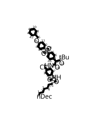 CCCCCCCCCCCCCCCCS(=O)(=O)Nc1ccc(Cl)c(NC(=O)C(C(=O)C(C)(C)C)c2ccc(S(=O)(=O)c3ccc(OCc4ccccc4)cc3)cc2)c1